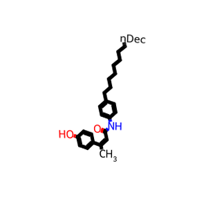 CCCCCCCCCCCCCCCCCCc1ccc(NC(=O)C=C(C)c2ccc(O)cc2)cc1